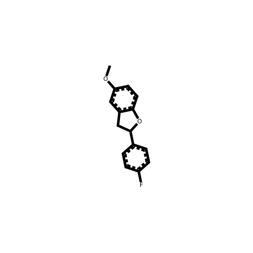 COc1ccc2c(c1)CC(c1ccc(F)cc1)O2